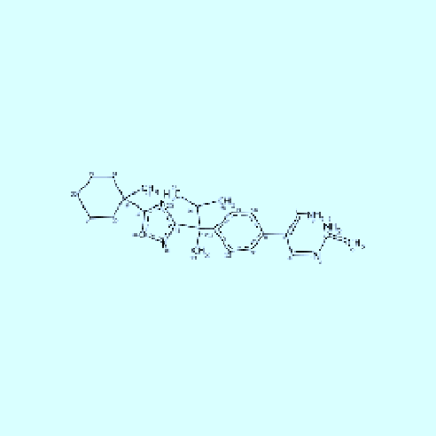 C=C(N)/N=C\C(=C/N)c1ccc(C(C)(c2noc(C3(C)CCCCC3)n2)C(C)C)cc1